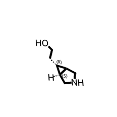 OCC[C@@H]1C2CNC[C@H]21